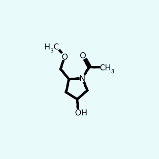 COCC1CC(O)CN1C(C)=O